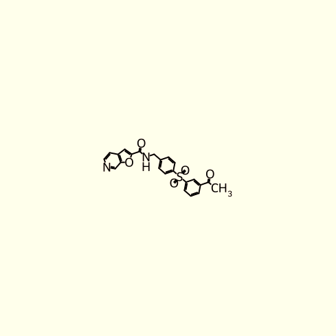 CC(=O)c1cccc(S(=O)(=O)c2ccc(CNC(=O)c3cc4ccncc4o3)cc2)c1